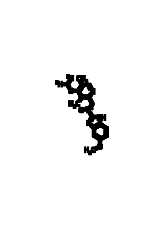 [2H]C([2H])Oc1c(C)cnc(C[S@+]([O-])c2nc3cc(OC)ccc3[nH]2)c1C